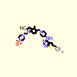 Cc1c(CN2CCC(Nc3ncnc4sc(CC(F)(F)F)cc34)CC2)ccc2c1cc(C#N)n2CCN1CCN(P(C)(C)=O)CC1